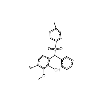 COc1c(Br)ccc(C(c2ccccc2)S(=O)(=O)c2ccc(C)cc2)c1O